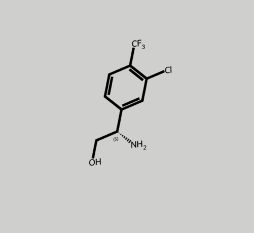 N[C@H](CO)c1ccc(C(F)(F)F)c(Cl)c1